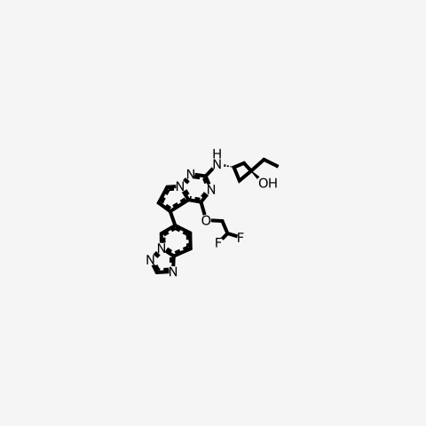 CC[C@]1(O)C[C@H](Nc2nc(OCC(F)F)c3c(-c4ccc5ncnn5c4)ccn3n2)C1